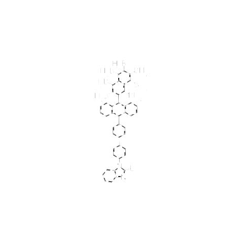 Bc1c(B)c(B)c2c(B)c(-c3c4ccccc4c(-c4ccc(-c5ccc(-n6c(CC)nc7ccccc76)cc5)cc4)c4ccccc34)c(B)c(B)c2c1B